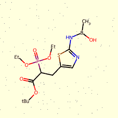 CCOP(=O)(OCC)C(Cc1cnc(NB(C)O)s1)C(=O)OC(C)(C)C